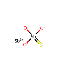 [O-][Sb]([O-])([O-])=[S].[Sb+3]